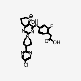 O=C(O)Cc1ccc(Nc2nc(N3CCC(c4ncc(Cl)cn4)CC3)nc3c2S(=O)(=O)CCC3)cc1F